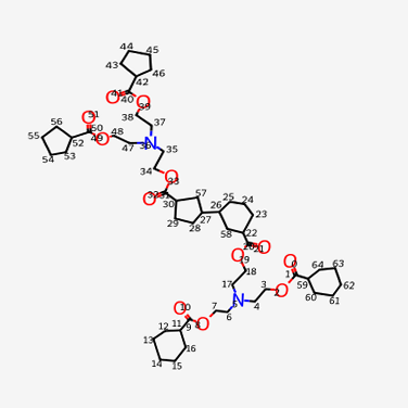 O=C(OCCN(CCOC(=O)C1CCCCC1)CCOC(=O)C1CCCC(C2CCC(C(=O)OCCN(CCOC(=O)C3CCCC3)CCOC(=O)C3CCCC3)C2)C1)C1CCCCC1